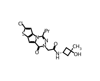 CC(C)c1nn(CC(=O)N[C@H]2C[C@@](C)(O)C2)c(=O)c2cc3sc(Cl)cc3n12